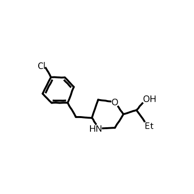 CCC(O)C1CNC(Cc2ccc(Cl)cc2)CO1